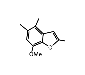 COc1cc(C)c(C)c2cc(C)oc12